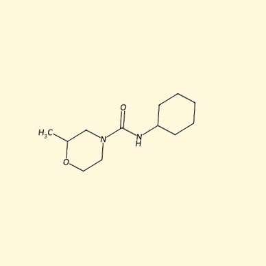 CC1CN(C(=O)NC2CCCCC2)CCO1